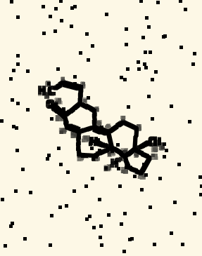 C/C=C\C1CC2=C3CC[C@]4(C)CCC[C@H]4[C@@H]3CCC2=CC1=O